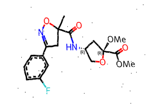 COC(=O)[C@@]1(OC)C[C@@H](NC(=O)C2(C)CC(c3cccc(F)c3)=NO2)CO1